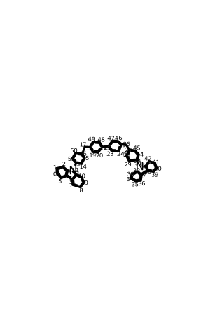 c1ccc2c(c1)c1ccccc1n2-c1ccc(Cc2ccc(-c3ccc(Cc4ccc(-n5c6ccccc6c6ccccc65)cc4)cc3)cc2)cc1